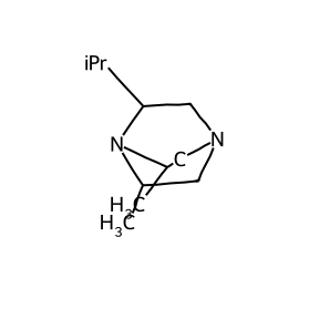 CC(C)C1CN2CC(C)N1C(C)C2